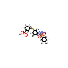 COC(=O)c1cccc(Sc2cccc(NS(=O)(=O)c3ccccc3)c2)c1